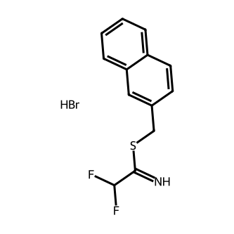 Br.N=C(SCc1ccc2ccccc2c1)C(F)F